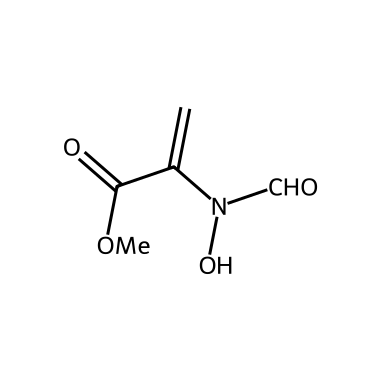 C=C(C(=O)OC)N(O)C=O